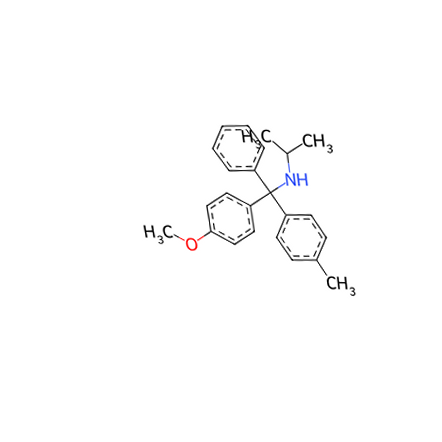 COc1ccc(C(NC(C)C)(c2ccccc2)c2ccc(C)cc2)cc1